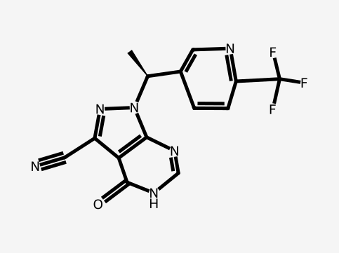 C[C@@H](c1ccc(C(F)(F)F)nc1)n1nc(C#N)c2c(=O)[nH]cnc21